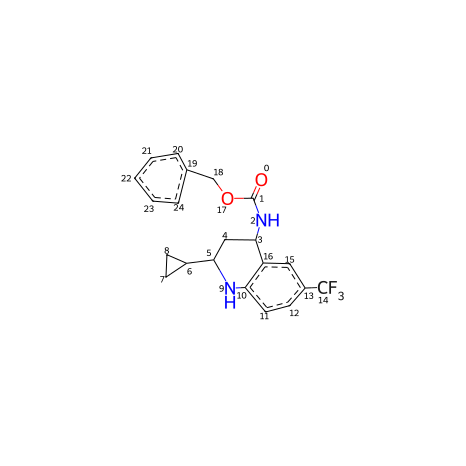 O=C(NC1CC(C2CC2)Nc2ccc(C(F)(F)F)cc21)OCc1ccccc1